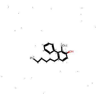 CCCCCCCCc1c(O)ccc(CCCCCC(C)C)c1-c1ccccc1